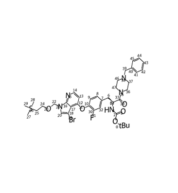 CC(C)(C)OC(=O)N[C@@H](Cc1ccc(Oc2ccnc3c2c(Br)cn3COCCS(C)(C)C)c(F)c1)C(=O)N1CCN(Cc2ccccc2)CC1